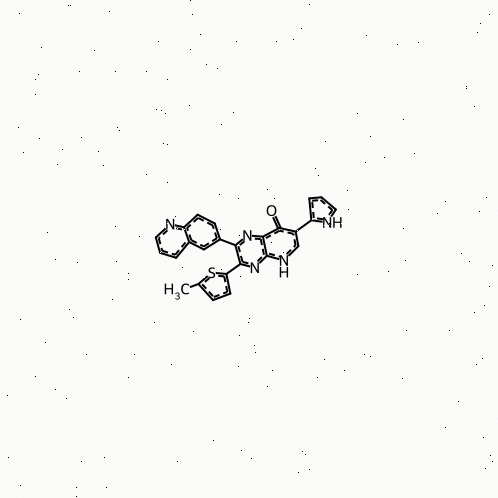 Cc1ccc(-c2nc3[nH]cc(-c4ccc[nH]4)c(=O)c3nc2-c2ccc3ncccc3c2)s1